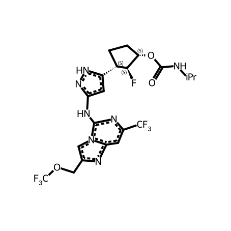 CC(C)NC(=O)O[C@H]1CC[C@@H](c2cc(Nc3nc(C(F)(F)F)cc4nc(COC(F)(F)F)cn34)n[nH]2)[C@@H]1F